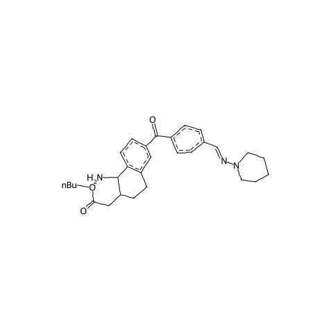 CCCCOC(=O)CC1CCc2cc(C(=O)c3ccc(C=NN4CCCCC4)cc3)ccc2C1N